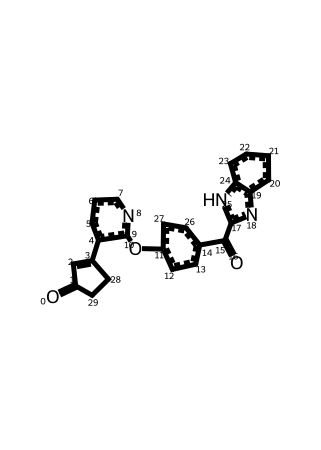 O=C1C=C(c2cccnc2Oc2ccc(C(=O)c3nc4ccccc4[nH]3)cc2)CC1